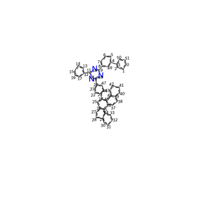 c1ccc(-c2cccc(-c3nc(-c4ccccc4)nc(-c4ccc(-c5cc6ccc7ccccc7c6c6ccc7ccccc7c56)cc4)n3)c2)cc1